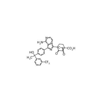 CC(O)(c1ccc(-c2nc(C34CCC(C(=O)O)(CC3=O)C(=O)C4)n3ccnc(N)c23)cc1)c1cccc(C(F)(F)F)c1